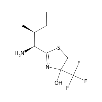 CC[C@H](C)[C@H](N)C1=NC(O)(C(F)(F)F)CS1